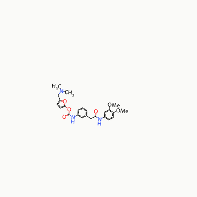 COc1ccc(NC(=O)Cc2cccc(NC(=O)Oc3ccc(CN(C)C)o3)c2)cc1OC